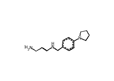 NCCCNCc1ccc(N2CCCC2)cc1